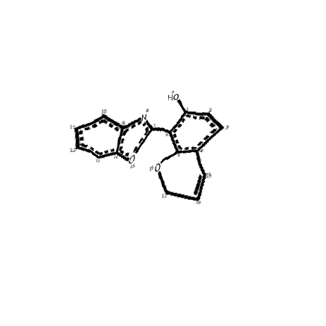 Oc1ccc2c(c1-c1nc3ccccc3o1)OCC=C2